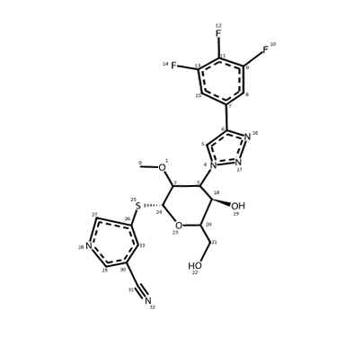 COC1C(n2cc(-c3cc(F)c(F)c(F)c3)nn2)[C@@H](O)C(CO)O[C@@H]1Sc1cncc(C#N)c1